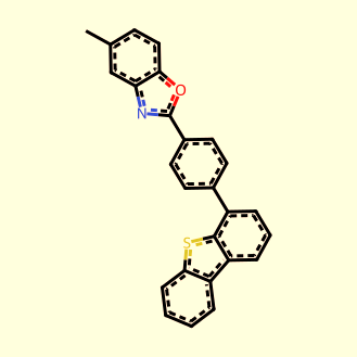 Cc1ccc2oc(-c3ccc(-c4cccc5c4sc4ccccc45)cc3)nc2c1